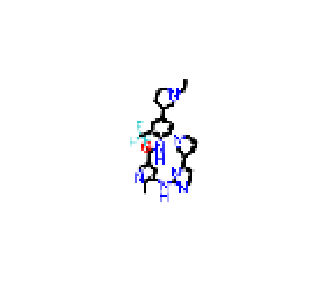 CCN1CCCC(c2ccc(NC(=O)c3cnc(C)c(Nc4nccc(-c5cccnc5)n4)c3)c(C(F)(F)F)c2)C1